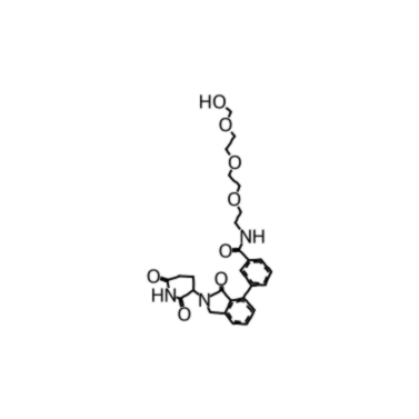 O=C1CCC(N2Cc3cccc(-c4cccc(C(=O)NCCOCCOCCOCO)c4)c3C2=O)C(=O)N1